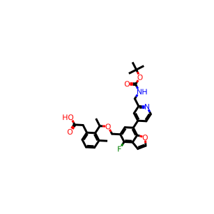 Cc1cccc(CC(=O)O)c1C(C)OCc1cc(-c2ccnc(CNC(=O)OC(C)(C)C)c2)c2occc2c1F